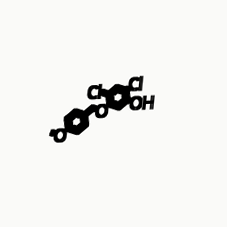 COc1ccc(COc2cc(O)c(Cl)cc2Cl)cc1